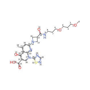 COCCCOCCCNC(=O)C1CN(c2cc(C)c3c(=O)c(C(=O)O)cn(-c4ncns4)c3n2)C1